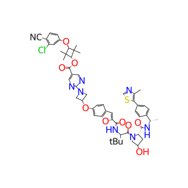 Cc1ncsc1-c1ccc([C@H](C)NC(=O)[C@@H]2C[C@@H](O)CN2C(=O)C(NC(=O)c2cc3ccc(OC4CN(c5ncc(C(=O)O[C@H]6C(C)(C)[C@H](Oc7ccc(C#N)c(Cl)c7)C6(C)C)cn5)C4)cc3o2)C(C)(C)C)cc1